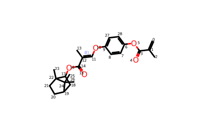 C=C(C)C(=O)Oc1ccc(O/C=C(\C)C(=O)OC2CC3CCC2(C)C3(C)C)cc1